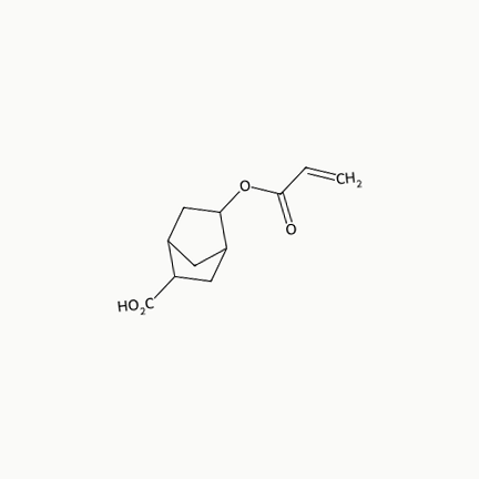 C=CC(=O)OC1CC2CC1CC2C(=O)O